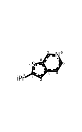 CC(C)c1cc2ccncc2s1